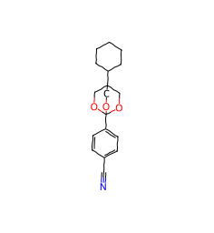 N#Cc1ccc(C23OCC(C4CCCCC4)(CO2)CO3)cc1